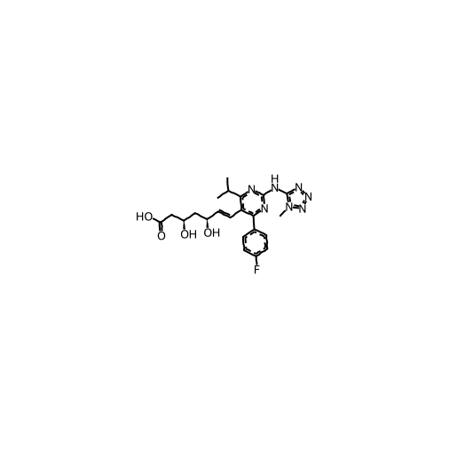 CC(C)c1nc(Nc2nnnn2C)nc(-c2ccc(F)cc2)c1/C=C/[C@@H](O)C[C@@H](O)CC(=O)O